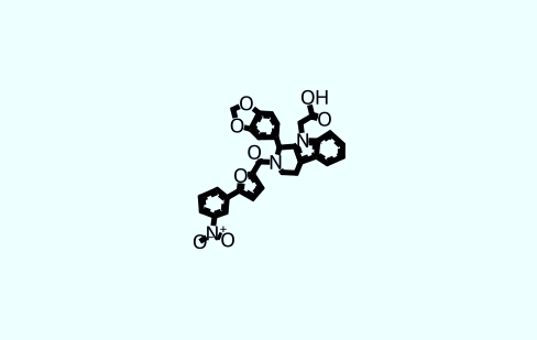 O=C(O)Cn1c2c(c3ccccc31)CCN(C(=O)c1ccc(-c3cccc([N+](=O)[O-])c3)o1)C2c1ccc2c(c1)OCO2